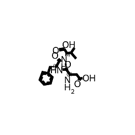 CC(C)[C@H](NC(=O)[C@H](Cc1ccccc1)NC(=O)[C@@H](N)CC(=O)O)C(=O)O